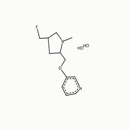 CN1CC(CF)CC1COc1cccnc1.Cl.Cl